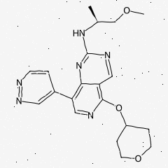 COC[C@H](C)Nc1ncc2c(OC3CCOCC3)ncc(-c3ccnnc3)c2n1